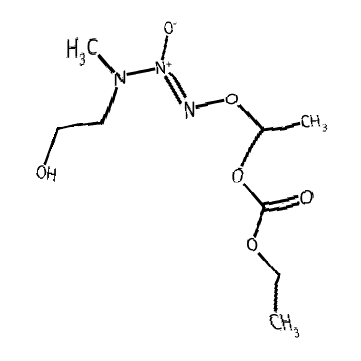 CCOC(=O)OC(C)O/N=[N+](\[O-])N(C)CCO